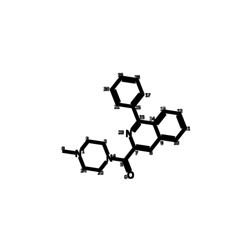 CN1CCN(C(=O)c2cc3ccccc3c(-c3ccccc3)n2)CC1